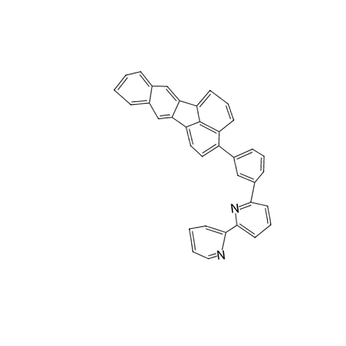 c1ccc(-c2cccc(-c3cccc(-c4ccc5c6c(cccc46)-c4cc6ccccc6cc4-5)c3)n2)nc1